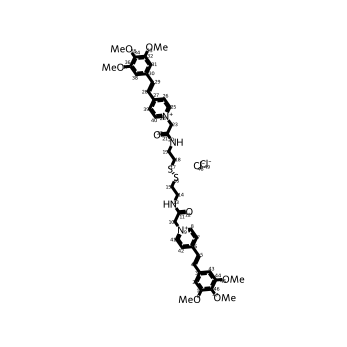 COc1cc(C=Cc2cc[n+](CC(=O)NCCSSCCNC(=O)C[n+]3ccc(C=Cc4cc(OC)c(OC)c(OC)c4)cc3)cc2)cc(OC)c1OC.[Cl-].[Cl-]